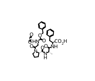 C[C@H](NC(=O)[C@@H]1CCCN1C(=O)CNC(=O)OCc1ccccc1)C(=O)N[C@@H](Cc1ccccc1)C(=O)O.O=C=O